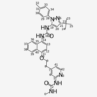 CNC(=O)Nc1cc(CCOc2ccc(NC(=O)Nc3cc(C(C)(C)C)nn3-c3ccc(C)cc3)c3ccccc23)ccn1